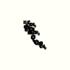 C=CC(=O)N1CCN(Cc2ccc(C(C)Nc3nccc(N4C(=O)OC[C@@H]4C(C)C)n3)cc2)CC1